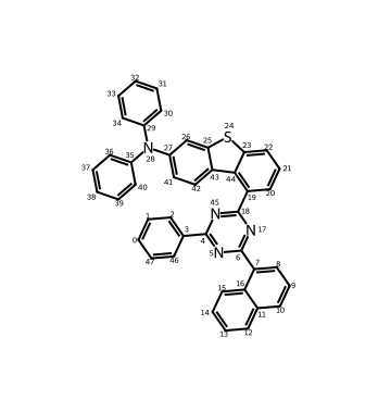 c1ccc(-c2nc(-c3cccc4ccccc34)nc(-c3cccc4sc5cc(N(c6ccccc6)c6ccccc6)ccc5c34)n2)cc1